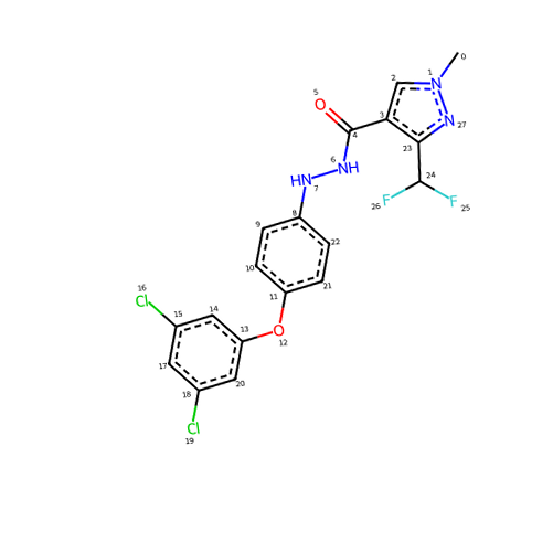 Cn1cc(C(=O)NNc2ccc(Oc3cc(Cl)cc(Cl)c3)cc2)c(C(F)F)n1